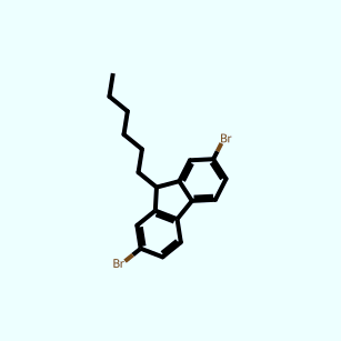 CCCCCCC1c2cc(Br)ccc2-c2ccc(Br)cc21